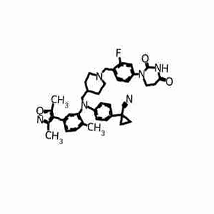 Cc1ccc(-c2c(C)noc2C)cc1N(CC1CCN(Cc2ccc(N3CCC(=O)NC3=O)cc2F)CC1)c1ccc(C2(C#N)CC2)cc1